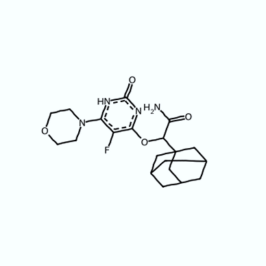 NC(=O)C(Oc1nc(=O)[nH]c(N2CCOCC2)c1F)C12CC3CC(CC(C3)C1)C2